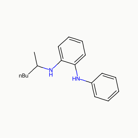 CCCCC(C)Nc1ccccc1Nc1ccccc1